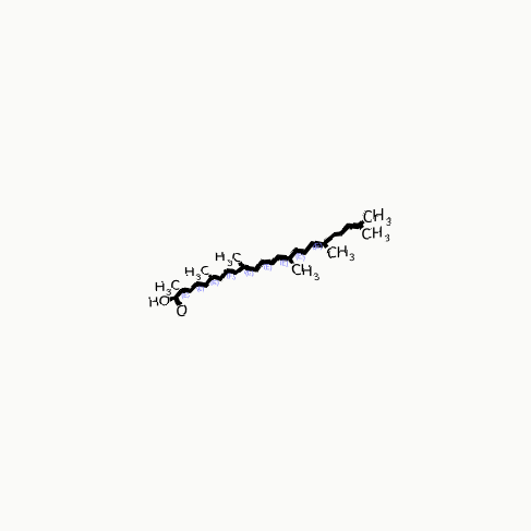 CC(C)=CCC/C(C)=C/C=C/C(C)=C/C=C/C=C(C)/C=C/C=C(C)/C=C/C=C(\C)C(=O)O